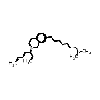 C=CCCC(C=C)N1CCc2ccc(CCCCCCCN(C)C)cc2C1